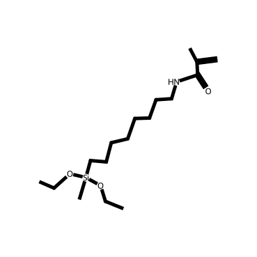 C=C(C)C(=O)NCCCCCCCC[Si](C)(OCC)OCC